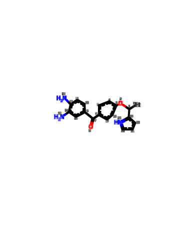 CCC(Oc1ccc(C(=O)c2ccc(N)c(N)c2)cc1)c1ccc[nH]1